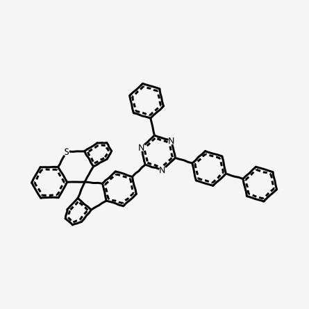 c1ccc(-c2ccc(-c3nc(-c4ccccc4)nc(-c4ccc5c(c4)C4(c6ccccc6Sc6ccccc64)c4ccccc4-5)n3)cc2)cc1